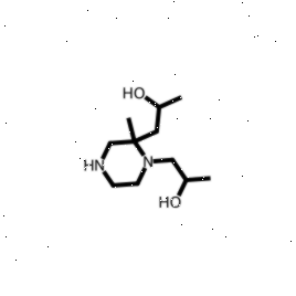 CC(O)CN1CCNCC1(C)CC(C)O